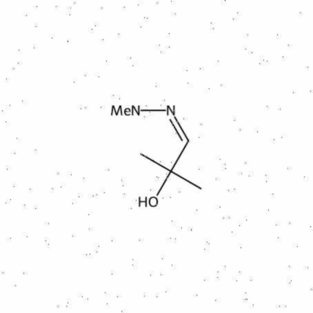 CN/N=C\C(C)(C)O